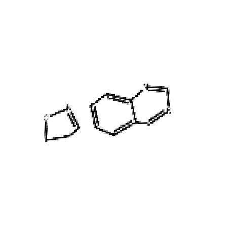 C1=NOCC1.c1ccc2ncncc2c1